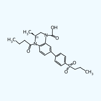 CCCC(=O)N1c2ccc(-c3ccc(S(=O)(=O)CCC)cc3)cc2N(C(=O)O)C[C@@H]1C